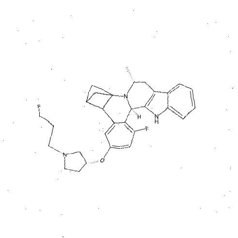 C[C@@H]1Cc2c([nH]c3ccccc23)[C@H]2c3c(F)cc(O[C@@H]4CCN(CCCF)C4)cc3C3C4CC3(C4)N21